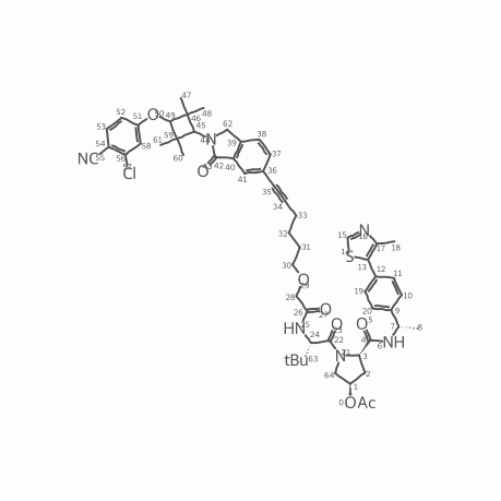 CC(=O)O[C@@H]1C[C@H](C(=O)N[C@@H](C)c2ccc(-c3scnc3C)cc2)N(C(=O)[C@@H](NC(=O)COCCCCC#Cc2ccc3c(c2)C(=O)N(C2C(C)(C)C(Oc4ccc(C#N)c(Cl)c4)C2(C)C)C3)C(C)(C)C)C1